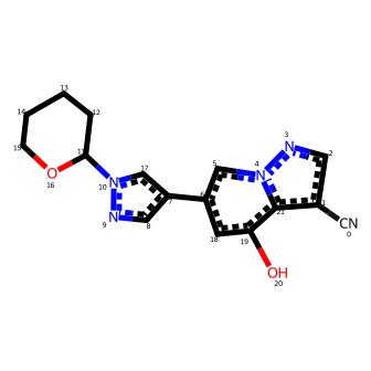 N#Cc1cnn2cc(-c3cnn(C4CCCCO4)c3)cc(O)c12